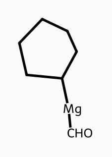 O=[CH][Mg][CH]1CCCCC1